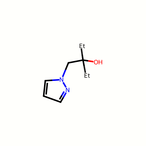 CCC(O)(CC)Cn1cccn1